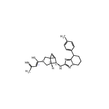 CC(=N)/C=C(\S)N1C[C@H]2[C@H](Nc3nc4n(n3)CCCC4c3ccc(C)cc3)C3=CC32C1